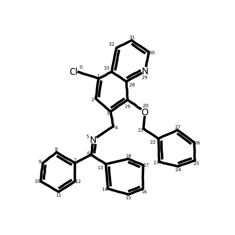 Clc1cc(CN=C(c2ccccc2)c2ccccc2)c(OCc2ccccc2)c2ncccc12